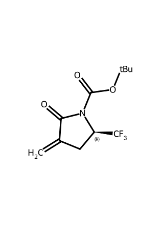 C=C1C[C@H](C(F)(F)F)N(C(=O)OC(C)(C)C)C1=O